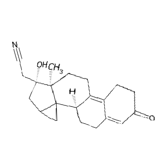 C[C@]12CCC3=C4CCC(=O)C=C4CC[C@H]3C13CC3C[C@@]2(O)CC#N